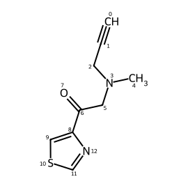 C#CCN(C)CC(=O)c1cscn1